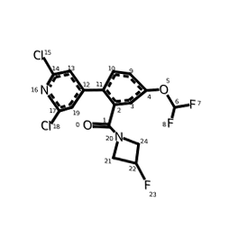 O=C(c1cc(OC(F)F)ccc1-c1cc(Cl)nc(Cl)c1)N1CC(F)C1